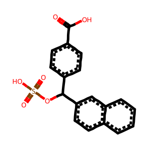 O=C(O)c1ccc(C(OS(=O)(=O)O)c2ccc3ccccc3c2)cc1